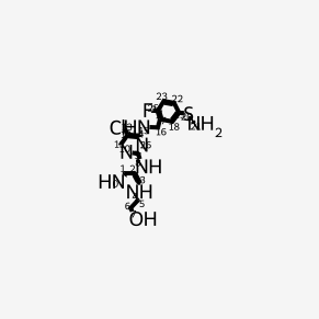 N=C/C(=C\NCCO)Nc1ncc(Cl)c(NCc2cc(SN)ccc2F)n1